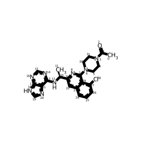 CC(=O)N1CCN(c2nc([C@H](C)Nc3ncnc4[nH]cnc34)cc3cccc(Cl)c23)CC1